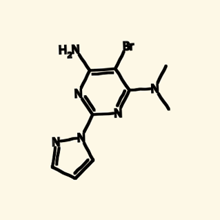 CN(C)c1nc(-n2cccn2)nc(N)c1Br